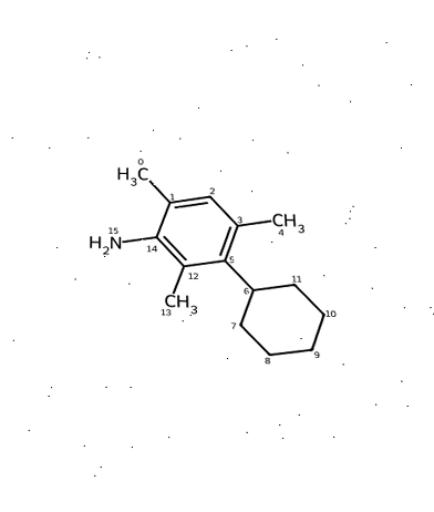 Cc1cc(C)c(C2CCCCC2)c(C)c1N